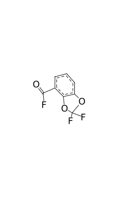 O=C(F)c1cccc2c1OC(F)(F)O2